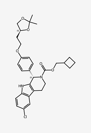 CC1(C)OC[C@H](CCOc2ccc([C@H]3c4[nH]c5ccc(Cl)cc5c4CCN3C(=O)OCC3CCC3)cc2)O1